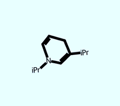 CC(C)C1=CN(C(C)C)C=CC1